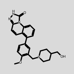 COc1ccc(-c2cccc3c2ccc2n[nH]c(=O)n23)cc1CN1CCC(CO)CC1